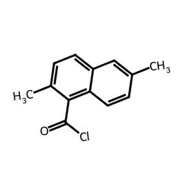 Cc1ccc2c(C(=O)Cl)c(C)ccc2c1